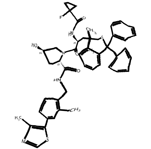 Cc1cc(-c2scnc2C)ccc1CNC(=O)[C@@H]1C[C@@H](O)CN1C(=O)[C@@H](NC(=O)C1(F)CC1)C(C)(C)SC(c1ccccc1)(c1ccccc1)c1ccccc1